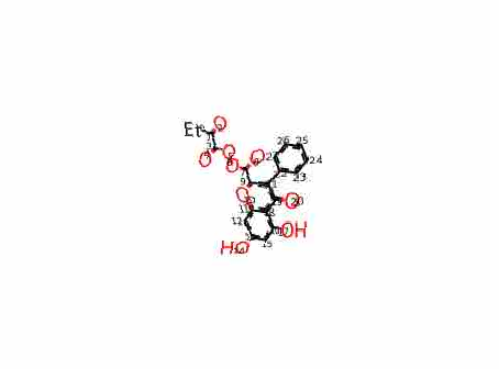 CCC(=O)C(=O)OOC(=O)c1oc2cc(O)cc(O)c2c(=O)c1-c1ccccc1